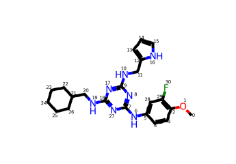 COc1ccc(Nc2nc(NCc3ccc[nH]3)nc(NCC3CCCCC3)n2)cc1F